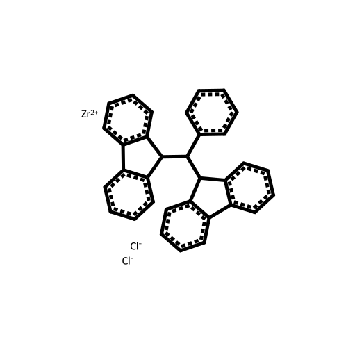 [Cl-].[Cl-].[Zr+2].c1ccc(C(C2c3ccccc3-c3ccccc32)C2c3ccccc3-c3ccccc32)cc1